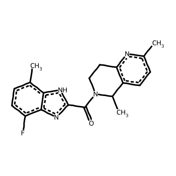 Cc1ccc2c(n1)CCN(C(=O)c1nc3c(F)ccc(C)c3[nH]1)C2C